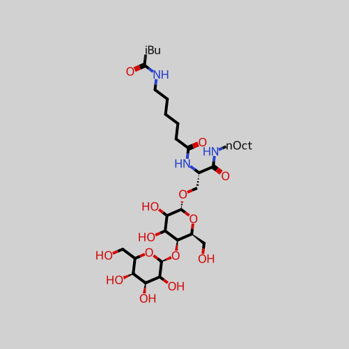 CCCCCCCCNC(=O)[C@H](CO[C@@H]1O[C@@H](CO)[C@@H](O[C@@H]2OC(CO)[C@H](O)[C@H](O)C2O)C(O)C1O)NC(=O)CCCCCNC(=O)C(C)CC